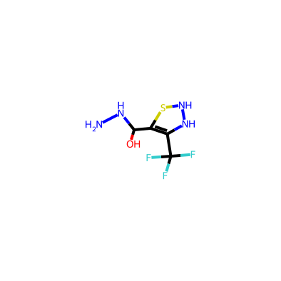 NNC(O)C1=C(C(F)(F)F)NNS1